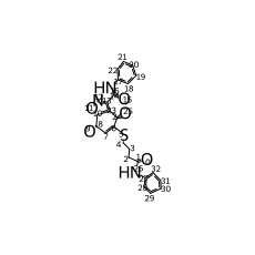 O=C(CCCSC1=CC(=O)c2onc(C(=O)Nc3ccccc3)c2C1=O)Nc1ccccc1